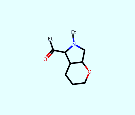 CCC(=O)C1C2CCCOC2CN1CC